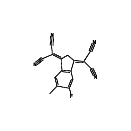 Cc1cc2c(cc1F)C(=C(C#N)C#N)CC2=C(C#N)C#N